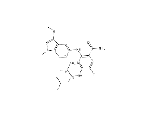 COc1nn(C)c2ccc(Nc3nc(N[C@H](CC(C)C)[C@H](C)N)c(F)cc3C(N)=O)cc12